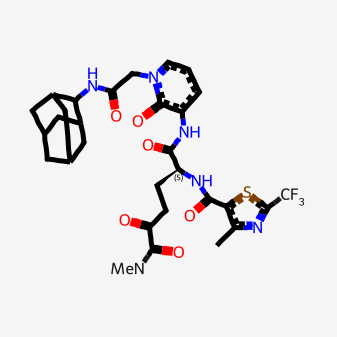 CNC(=O)C(=O)CC[C@H](NC(=O)c1sc(C(F)(F)F)nc1C)C(=O)Nc1cccn(CC(=O)NC2C3CC4CC(C3)CC2C4)c1=O